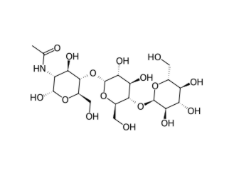 CC(=O)N[C@@H]1[C@@H](O)[C@H](O[C@H]2O[C@H](CO)[C@@H](O[C@H]3O[C@H](CO)[C@@H](O)[C@H](O)[C@H]3O)[C@H](O)[C@H]2O)[C@@H](CO)O[C@@H]1O